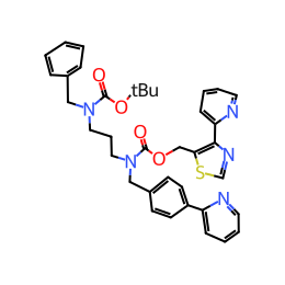 CC(C)(C)OC(=O)N(CCCN(Cc1ccc(-c2ccccn2)cc1)C(=O)OCc1scnc1-c1ccccn1)Cc1ccccc1